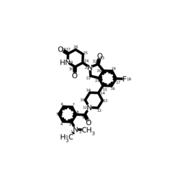 CN(C)c1ccccc1C(=O)N1CCC(c2cc(F)cc3c2CN(C2CCC(=O)NC2=O)C3=O)CC1